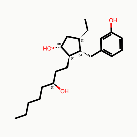 CCCCC[C@H](O)CC[C@@H]1[C@@H](Cc2cccc(O)c2)[C@@H](CC)C[C@H]1O